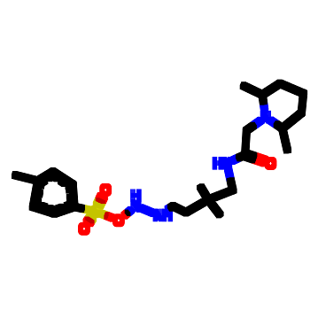 Cc1ccc(S(=O)(=O)ONNCCC(C)(C)CNC(=O)CN2C(C)CCCC2C)cc1